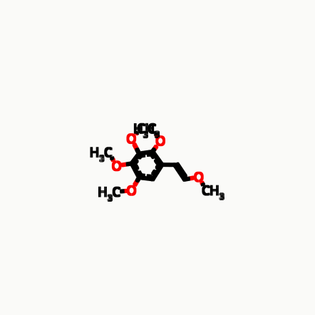 COC=Cc1cc(OC)c(OC)c(OC)c1OC